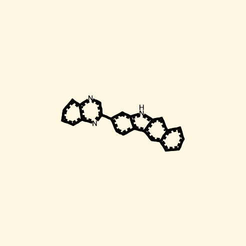 c1ccc2cc3c(cc2c1)[nH]c1cc(-c2cnc4ccccc4n2)ccc13